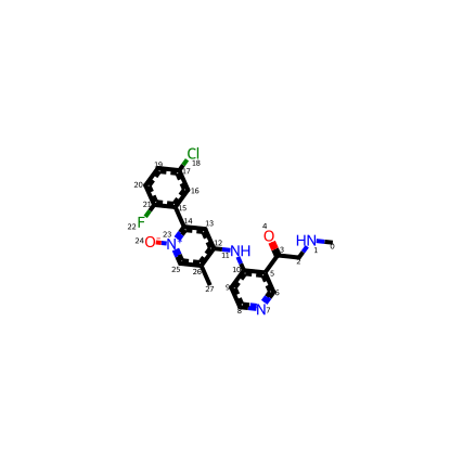 CNCC(=O)c1cnccc1Nc1cc(-c2cc(Cl)ccc2F)[n+]([O-])cc1C